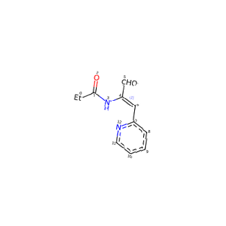 CCC(=O)N/C([C]=O)=C\c1ccccn1